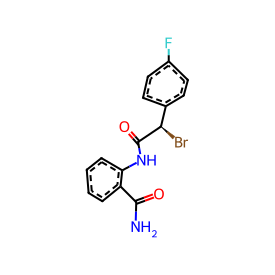 NC(=O)c1ccccc1NC(=O)[C@H](Br)c1ccc(F)cc1